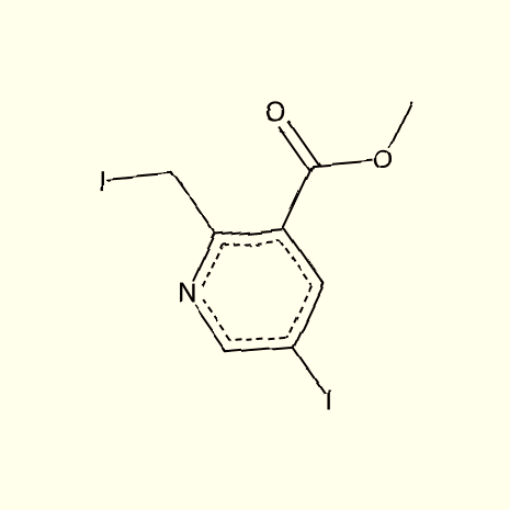 COC(=O)c1cc(I)cnc1CI